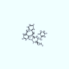 CN1CCN(C2=Nc3ccccc3Sc3ccccc32)CC1Cc1ccccc1